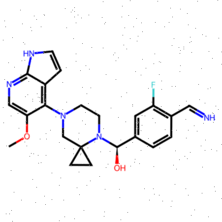 COc1cnc2[nH]ccc2c1N1CCN([C@H](O)c2ccc(C=N)c(F)c2)C2(CC2)C1